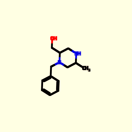 CC1CN(Cc2ccccc2)C(CO)CN1